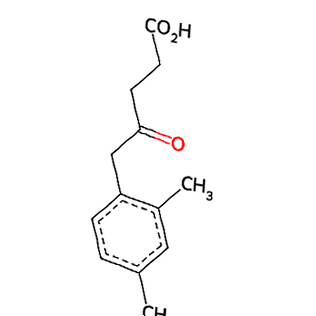 Cc1ccc(CC(=O)CCC(=O)O)c(C)c1